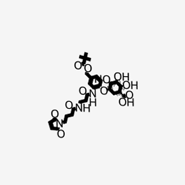 CC(C)(C)C(=O)OCc1ccc(O[C@@H]2C[C@H](C(=O)O)[C@@H](O)[C@H](O)[C@H]2O)c(NC(=O)CCNC(=O)CCCN2C(=O)C=CC2=O)c1